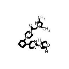 CC1=NN(CC(=O)N2CCN(c3ccccc3-c3cnc(N4C[C@@H]5C[C@H]4CO5)nc3)CC2)C(C)C1